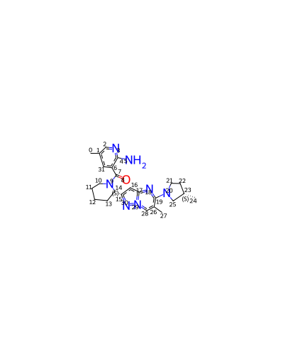 Cc1cnc(N)c(C(=O)N2CCCC[C@H]2c2cc3nc(N4CC[C@H](C)C4)c(C)cn3n2)c1